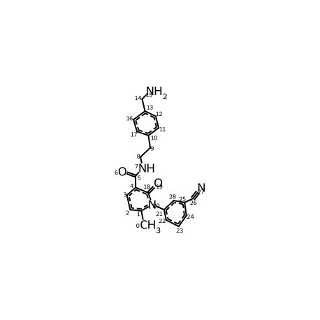 Cc1ccc(C(=O)NCCc2ccc(CN)cc2)c(=O)n1-c1cccc(C#N)c1